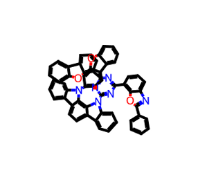 c1ccc(-c2nc3cccc(-c4nc(-c5cccc6c5oc5ccccc56)nc(-n5c6ccccc6c6ccc7c8ccccc8n(-c8ccc9c(c8)oc8ccccc89)c7c65)n4)c3o2)cc1